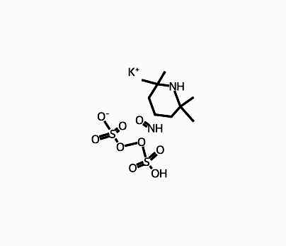 CC1(C)CCCC(C)(C)N1.N=O.O=S(=O)([O-])OOS(=O)(=O)O.[K+]